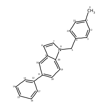 Cc1ccc(Cn2c[c]c3cc(-c4ccccc4)ccc32)cc1